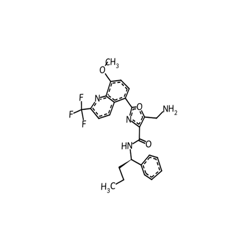 CCC[C@@H](NC(=O)c1nc(-c2ccc(OC)c3nc(C(F)(F)F)ccc23)oc1CN)c1ccccc1